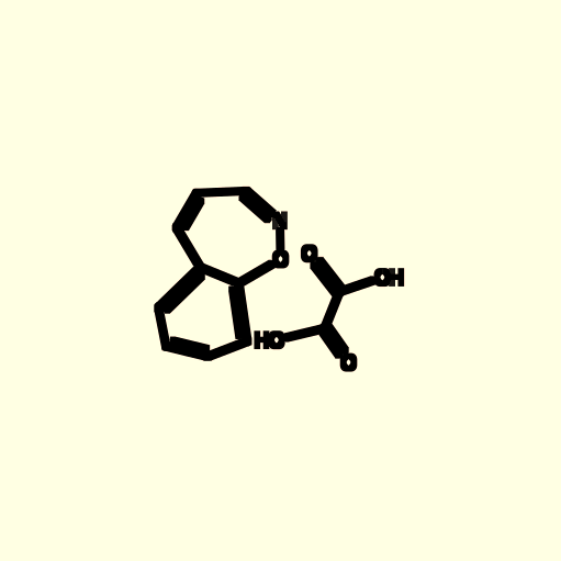 C1=Cc2ccccc2ON=C1.O=C(O)C(=O)O